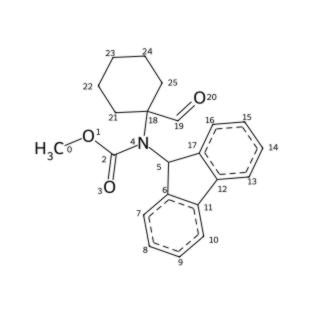 COC(=O)N(C1c2ccccc2-c2ccccc21)C1(C=O)CCCCC1